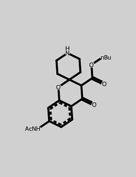 CCCCOC(=O)C1C(=O)c2ccc(NC(C)=O)cc2OC12CCNCC2